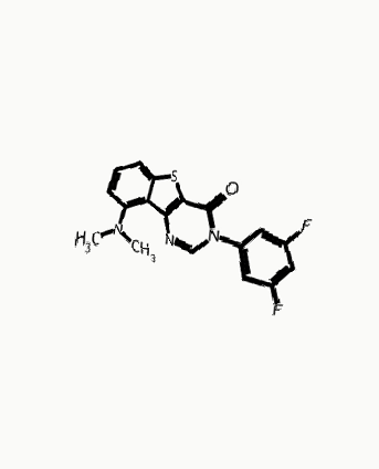 CN(C)c1cccc2sc3c(=O)n(-c4cc(F)cc(F)c4)cnc3c12